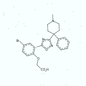 CN1CCC(c2ccccc2)(c2noc(-c3cc(Br)ccc3OCC(=O)O)n2)CC1